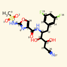 CS(=O)(=O)Nc1nc(C(=O)NC(Cc2cc(F)cc(F)c2)C(O)C(O)CC#N)co1